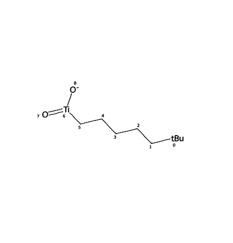 CC(C)(C)CCCC[CH2][Ti](=[O])[O-]